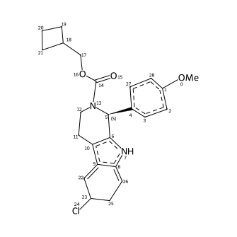 COc1ccc([C@H]2c3[nH]c4c(c3CCN2C(=O)OCC2CCC2)=CC(Cl)CC=4)cc1